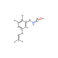 CC(C)=CCc1cc(C)c(C)c(CN=C=O)c1